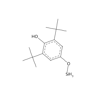 CC(C)(C)c1cc(O[SiH3])cc(C(C)(C)C)c1O